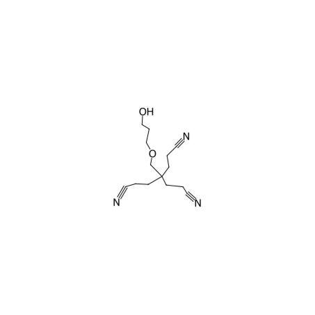 N#CCCC(CCC#N)(CCC#N)COCCCO